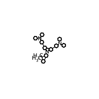 CC1(C)c2ccccc2-c2ccc(-n3c4ccc(-c5ccc(N(c6ccccc6)c6ccccc6)cc5)cc4c4cc(-c5ccc(N(c6ccccc6)c6ccccc6)cc5)ccc43)cc21